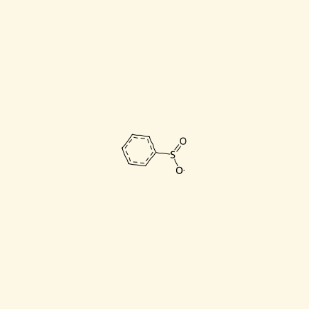 [O]S(=O)c1ccccc1